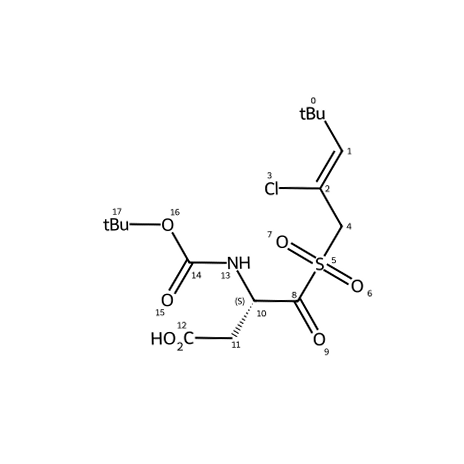 CC(C)(C)C=C(Cl)CS(=O)(=O)C(=O)[C@H](CC(=O)O)NC(=O)OC(C)(C)C